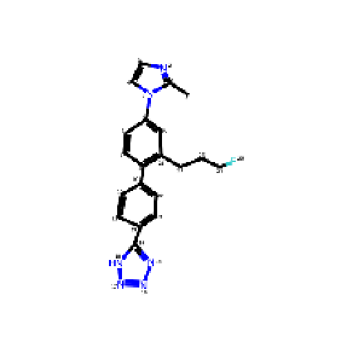 Cc1nccn1-c1ccc(-c2ccc(-c3nnn[nH]3)cc2)c(CCCF)c1